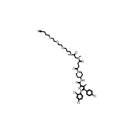 Cc1c(C(=O)NC2CCN(C(=O)CCC(=O)N(C)CC(=O)NCCCOCCOCCOCCCC#N)CC2)nn(-c2ccc(Cl)cc2Cl)c1-c1ccc(Cl)cc1